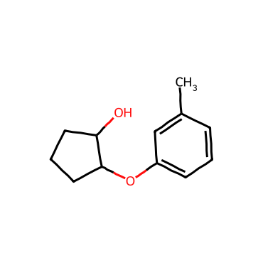 Cc1cccc(OC2CCCC2O)c1